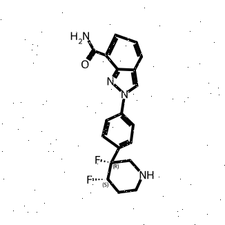 NC(=O)c1cccc2cn(-c3ccc([C@@]4(F)CNCC[C@@H]4F)cc3)nc12